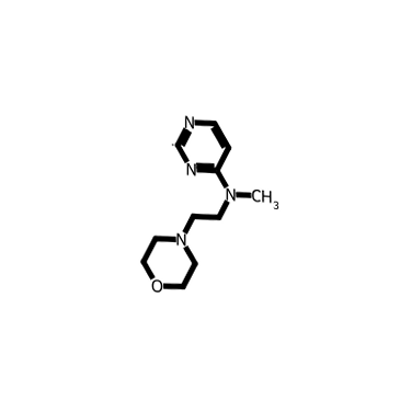 CN(CCN1CCOCC1)c1ccn[c]n1